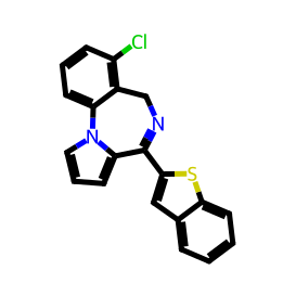 Clc1cccc2c1CN=C(c1cc3ccccc3s1)c1cccn1-2